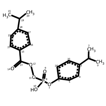 CC(C)c1ccc(OP(=O)(O)OOC(=O)c2ccc(C(C)C)cc2)cc1